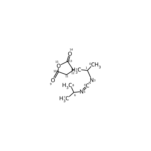 CC(C)N=C=NC(C)C.O=C1CCC(=O)O1